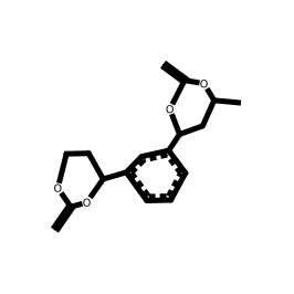 C=C1OCCC(c2cccc(C3CC(C)OC(=C)O3)c2)O1